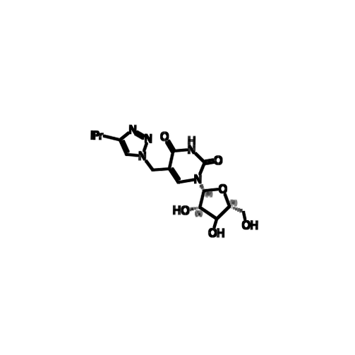 CC(C)c1cn(Cc2cn([C@@H]3O[C@H](CO)C(O)[C@@H]3O)c(=O)[nH]c2=O)nn1